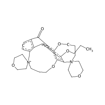 CCCOc1c2c3c4c(c1[N+]1(CCCO4)CCOCC1)OCCC[N+]1(CCOCC1)c1cccc(c1-2)C3=O